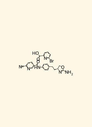 N#Cc1ccc(C(=O)Nc2ccc(CC[C@H]3COC(N)=N3)cc2)cn1.O=C(O)c1cccc(Br)n1